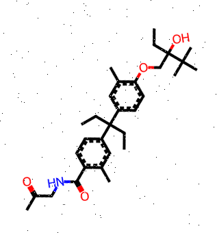 CCC(CC)(c1ccc(OCC(O)(CC)C(C)(C)C)c(C)c1)c1ccc(C(=O)NCC(C)=O)c(C)c1